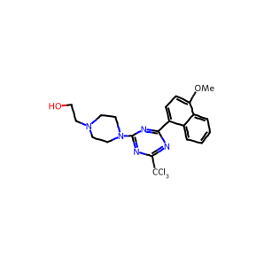 COc1ccc(-c2nc(N3CCN(CCO)CC3)nc(C(Cl)(Cl)Cl)n2)c2ccccc12